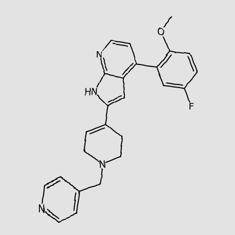 COc1ccc(F)cc1-c1ccnc2[nH]c(C3=CCN(Cc4ccncc4)CC3)cc12